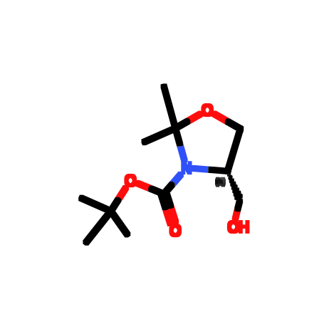 CC(C)(C)OC(=O)N1[C@@H](CO)COC1(C)C